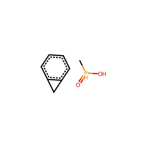 C[PH](=O)O.c1ccc2c(c1)C2